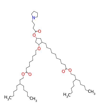 CCCCCC(CCCCC)CCOC(=O)CCCCCCCCCC1CC(OC(=O)CCCN2CCCC2)CC1OCCCCCCCC(=O)OCCC(CCCCC)CCCCC